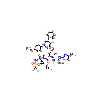 C=C[C@@H]1C[C@]1(NC(=O)[C@@H]1C[C@@H](Oc2nc(-c3ccc(OC(C)C)cc3)nc3c2sc2ccccc23)CN1C(=O)[C@@H](Nc1nc(C)cs1)C(C)(C)C)C(=O)NS(=O)(=O)C1CC1